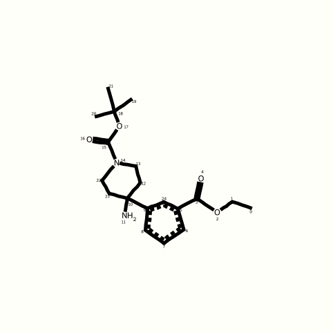 CCOC(=O)c1cccc(C2(N)CCN(C(=O)OC(C)(C)C)CC2)c1